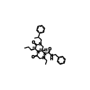 CCC[C@H]1C(=O)N(CC(C)c2ccccc2)C[C@H]2N1C(=O)CN(CC)N2C(=O)NCc1ccccc1